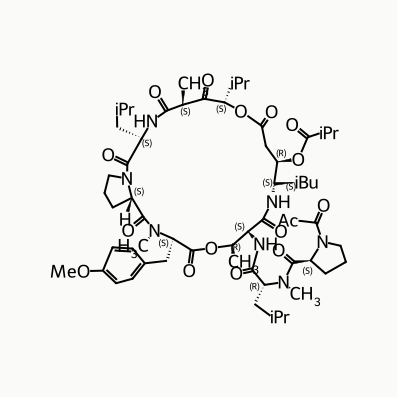 CC[C@H](C)[C@@H]1NC(=O)[C@@H](NC(=O)[C@@H](CC(C)C)N(C)C(=O)[C@@H]2CCCN2C(=O)C(C)=O)[C@@H](C)OC(=O)[C@H](Cc2ccc(OC)cc2)N(C)C(=O)[C@@H]2CCCN2C(=O)[C@H](CC(C)C)NC(=O)[C@@H](C)C(=O)[C@H](C(C)C)OC(=O)C[C@H]1OC(=O)C(C)C